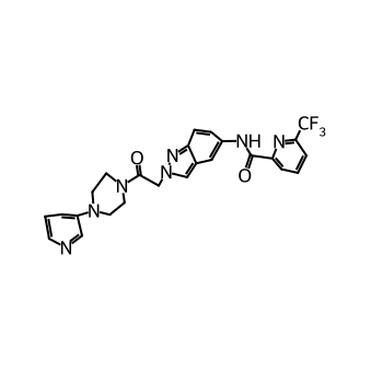 O=C(Nc1ccc2nn(CC(=O)N3CCN(c4cccnc4)CC3)cc2c1)c1cccc(C(F)(F)F)n1